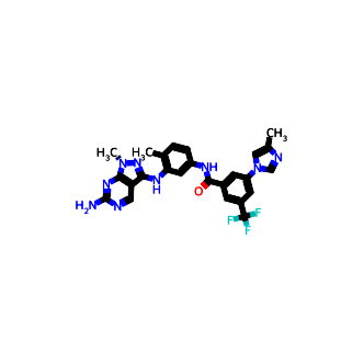 Cc1cn(-c2cc(C(=O)Nc3ccc(C)c(Nc4nn(C)c5nc(N)ncc45)c3)cc(C(F)(F)F)c2)cn1